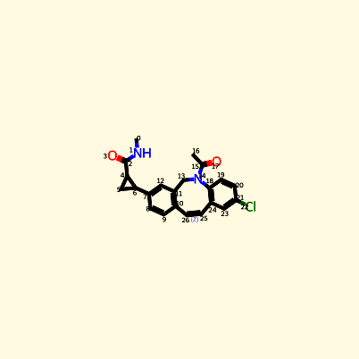 CNC(=O)C1CC1c1ccc2c(c1)CN(C(C)=O)c1ccc(Cl)cc1/C=C\2